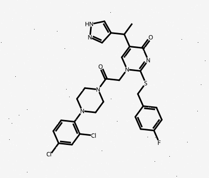 CC(c1cn[nH]c1)c1cn(CC(=O)N2CCN(c3ccc(Cl)cc3Cl)CC2)c(SCc2ccc(F)cc2)nc1=O